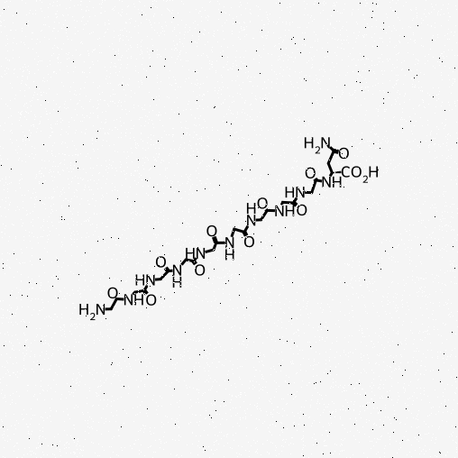 NCC(=O)NCC(=O)NCC(=O)NCC(=O)NCC(=O)NCC(=O)NCC(=O)NCC(=O)NCC(=O)N[C@@H](CC(N)=O)C(=O)O